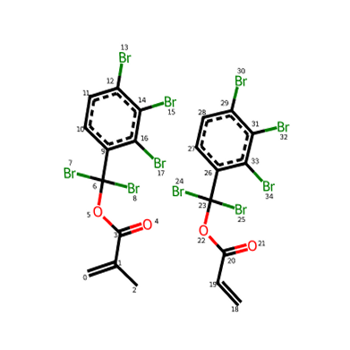 C=C(C)C(=O)OC(Br)(Br)c1ccc(Br)c(Br)c1Br.C=CC(=O)OC(Br)(Br)c1ccc(Br)c(Br)c1Br